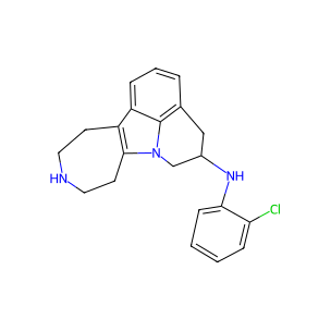 Clc1ccccc1NC1Cc2cccc3c4c(n(c23)C1)CCNCC4